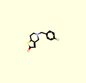 O=C1C=C2CN(Cc3ccc(Cl)cc3)CCC2S1